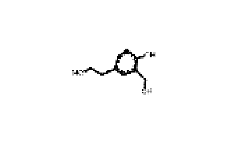 OCCc1ccc(O)c(CO)c1